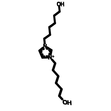 OCCCCCCn1cc[n+](CCCCCCO)c1